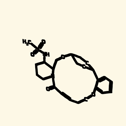 CS(=O)(=O)NC1CCCN2C(=O)/C=C\CCOc3ccccc3C3CCC(CC3)OCC12